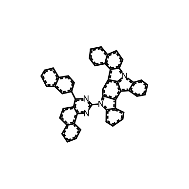 c1ccc2cc(-c3nc(-n4c5ccccc5c5c6c7ccccc7n7c8ccc9ccccc9c8c(cc54)c67)nc4c3ccc3ccccc34)ccc2c1